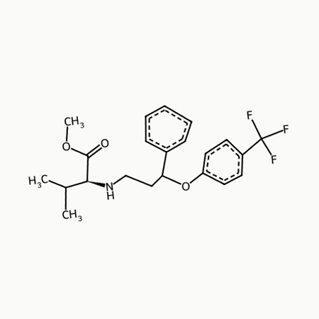 COC(=O)[C@@H](NCCC(Oc1ccc(C(F)(F)F)cc1)c1ccccc1)C(C)C